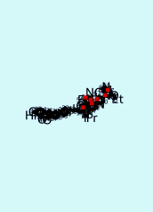 CCOc1cc(-c2ccc(N3CCC(CN(C(=O)CCCCN4CCN(c5ccc6c(c5)CN(C5CCC(=O)NC5=O)C6=O)CC4)C(C)C)(NC(=O)c4cc(F)ccc4F)CC3)nc2)c2c(C#N)cnn2c1